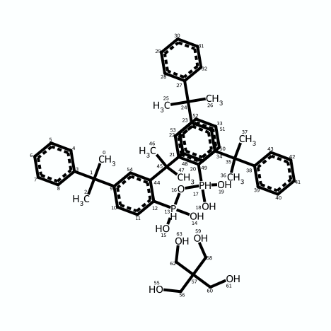 CC(C)(c1ccccc1)c1ccc([PH](O)(O)O[PH](O)(O)c2ccc(C(C)(C)c3ccccc3)cc2C(C)(C)c2ccccc2)c(C(C)(C)c2ccccc2)c1.OCC(CO)(CO)CO